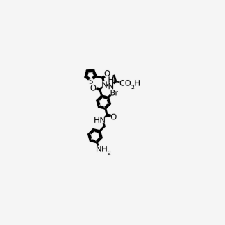 C[C@H](NN(C(=O)c1cccs1)C(=O)c1ccc(C(=O)NCc2cccc(N)c2)cc1Br)C(=O)O